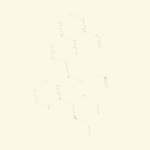 COC=C(C(=O)OC)c1ccccc1C(=NOC(C)=O)c1cc2c([N+](=O)[O-])cccc2cn1